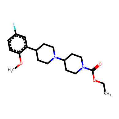 CCOC(=O)N1CCC(N2CCC(c3cc(F)ccc3OC)CC2)CC1